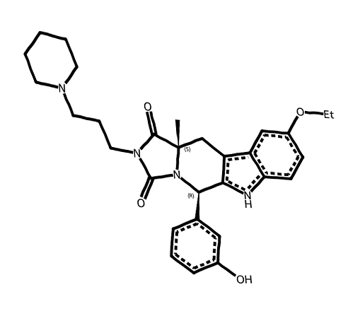 CCOc1ccc2[nH]c3c(c2c1)C[C@@]1(C)C(=O)N(CCCN2CCCCC2)C(=O)N1[C@@H]3c1cccc(O)c1